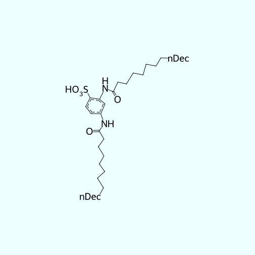 CCCCCCCCCCCCCCCCCC(=O)Nc1ccc(S(=O)(=O)O)c(NC(=O)CCCCCCCCCCCCCCCCC)c1